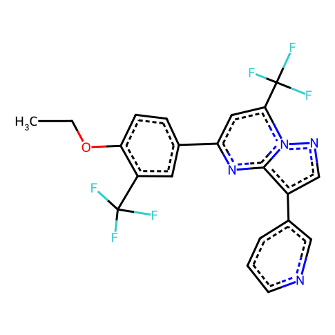 CCOc1ccc(-c2cc(C(F)(F)F)n3ncc(-c4cccnc4)c3n2)cc1C(F)(F)F